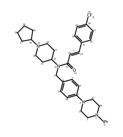 CC(C)N1CCN(c2ccc(CN(C(=O)/C=C/c3ccc(C(F)(F)F)cc3)C3CCN(C4CCCC4)CC3)cc2)CC1